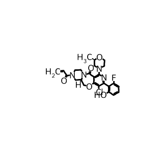 C=CC(=O)N1CCN2C(=O)c3c(N4CCO[C@H](C)C4)nc(-c4c(O)cccc4F)c(Cl)c3OC[C@H]2C1